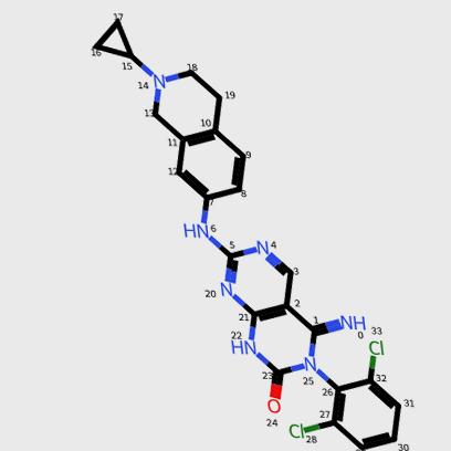 N=c1c2cnc(Nc3ccc4c(c3)CN(C3CC3)CC4)nc2[nH]c(=O)n1-c1c(Cl)cccc1Cl